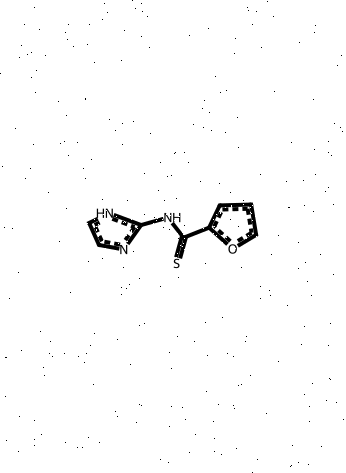 S=C(Nc1ncc[nH]1)c1ccco1